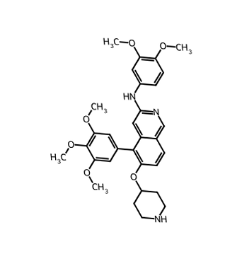 COc1ccc(Nc2cc3c(-c4cc(OC)c(OC)c(OC)c4)c(OC4CCNCC4)ccc3cn2)cc1OC